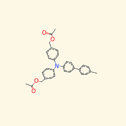 CC(=O)OCc1ccc(N(c2ccc(COC(C)=O)cc2)c2ccc(-c3ccc(C)cc3)cc2)cc1